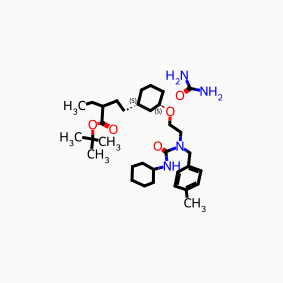 CCC(CC[C@@H]1CCC[C@H](OCCN(Cc2ccc(C)cc2)C(=O)NC2CCCCC2)C1)C(=O)OC(C)(C)C.NC(N)=O